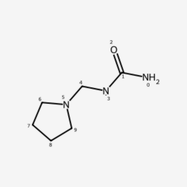 NC(=O)[N]CN1CCCC1